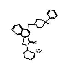 O=C1c2cc(CN3CCC(F)(c4ccccc4)CC3)c3ccccc3c2CN1[C@@H]1CCCC[C@H]1O